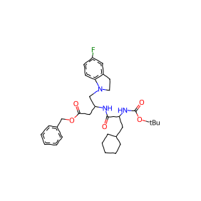 CC(C)(C)OC(=O)NC(CC1CCCCC1)C(=O)NC(CC(=O)OCc1ccccc1)CN1CCc2cc(F)ccc21